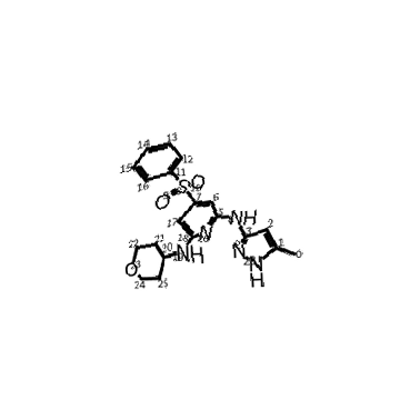 Cc1cc(Nc2cc(S(=O)(=O)c3ccccc3)cc(NC3CCOCC3)n2)n[nH]1